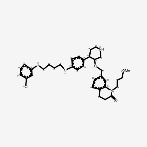 COCCCN1C(=O)CCc2ccc(COC3CNCCC3c3ccc(OCCCCOc4cccc(Cl)c4)cc3)cc21